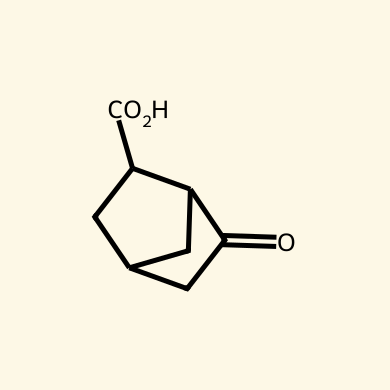 O=C(O)C1CC2CC(=O)C1C2